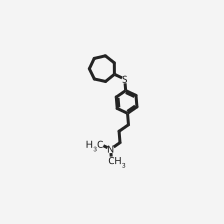 CN(C)CCCc1ccc(SC2CCCCCC2)cc1